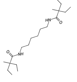 CCC(C)(CC)C(=O)NCCCCCCNC(=O)C(C)(CC)CC